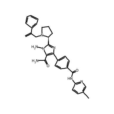 C=C(CN1CCC[C@H]1c1nc(-c2ccc(C(=O)Nc3ccc(C)cn3)cc2)c(C(N)=O)n1N)c1ccccc1